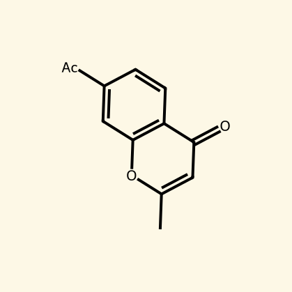 CC(=O)c1ccc2c(=O)cc(C)oc2c1